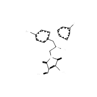 C=CC1=C(C)C(=O)N(C[C@H](O)[C@@H](c2ccc(F)cc2)c2ccc(C#N)cc2)C1=O